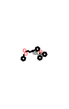 CC(C)(C)[Si](Oc1cccc(C#CCCC(=O)OCc2ccccc2)c1)(c1ccccc1)c1ccccc1